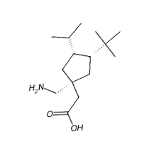 CC(C)[C@H]1C[C@](CN)(CC(=O)O)C[C@H]1C(C)(C)C